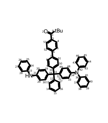 CC(C)(C)C(=O)c1ccc(-c2ccc(C(c3ccccc3)(c3ccc(Nc4ccccc4)cc3)c3ccc(N(c4ccccc4)c4ccccc4)cc3)cc2)cc1